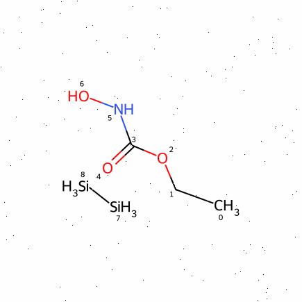 CCOC(=O)NO.[SiH3][SiH3]